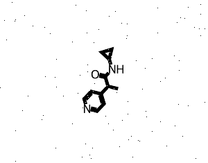 CC(C(=O)NC1CC1)c1ccncc1